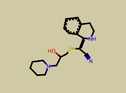 N#CC(SCC(O)CN1CCCCC1)=C1NCCc2ccccc21